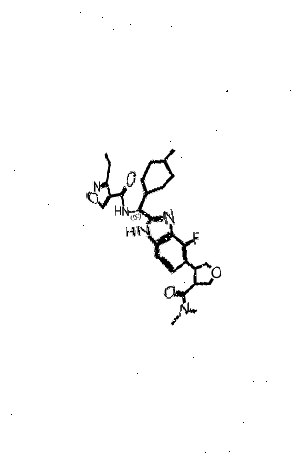 CCc1nocc1C(=O)N[C@H](c1nc2c(F)c(C3COCC3C(=O)N(C)C)ccc2[nH]1)C1CCC(C)CC1